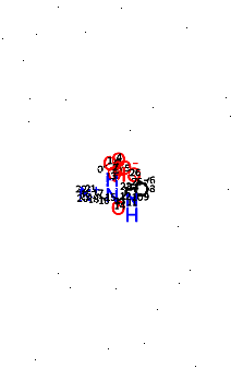 COS(=O)(=O)[O-].Cc1ccc2[nH]c(C(=O)NCCC[N+](C)(C)C)cc2c1O